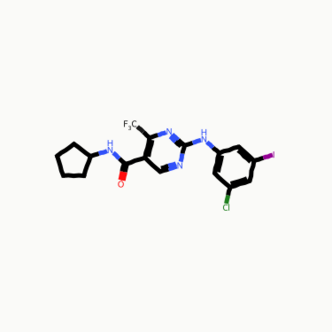 O=C(NC1CCCC1)c1cnc(Nc2cc(Cl)cc(I)c2)nc1C(F)(F)F